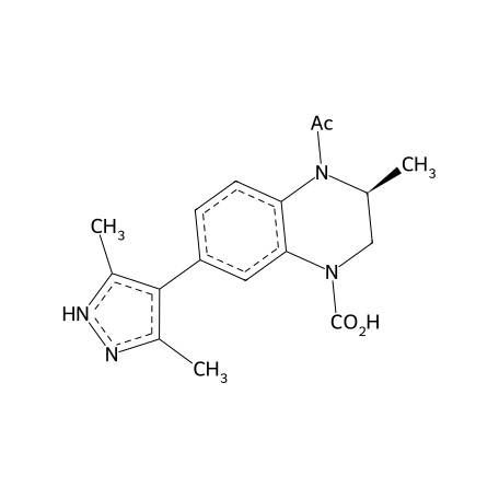 CC(=O)N1c2ccc(-c3c(C)n[nH]c3C)cc2N(C(=O)O)C[C@@H]1C